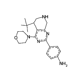 CC(C)(C)C1CNCc2nc(-c3ccc(N)cc3)nc(N3CCOCC3)c21